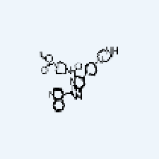 CCOC(=O)N1CCN(C(=O)c2nn3c(-c4ccnc5ccccc45)cnc3cc2-c2ccc(N3CCNCC3)cc2)CC1